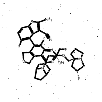 N#Cc1c(N)sc2ccc(F)c(-c3c4c(c5c(N6C7CCC6CN(C[C@@H](O)CF)C7)nc(OC[C@@]67CCCN6C[C@H](F)C7)nc5c3F)COC4)c12